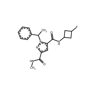 CNC(=O)c1cc(C(=O)NC2CC(F)C2)n(C(C)c2ccccc2)n1